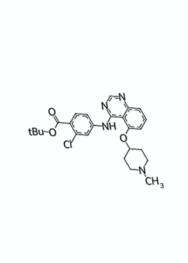 CN1CCC(Oc2cccc3ncnc(Nc4ccc(C(=O)OC(C)(C)C)c(Cl)c4)c23)CC1